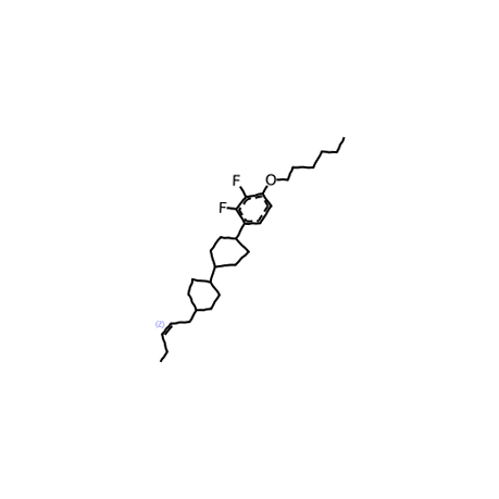 CC/C=C\CC1CCC(C2CCC(c3ccc(OCCCCCC)c(F)c3F)CC2)CC1